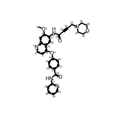 COc1cc2nccc(Oc3ccc(C(=O)Nc4ccccn4)cc3)c2cc1NC(=O)C#CCN1CCOCC1